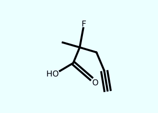 C#CCC(C)(F)C(=O)O